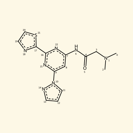 CN(C)CC(=O)Nc1cc(-n2cccn2)nc(-c2nccs2)n1